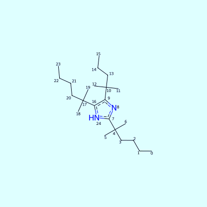 CCCCC(C)(C)c1nc(C(C)(C)CCC)c(C(C)(C)CCCC)[nH]1